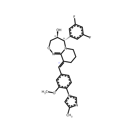 COc1cc(/C=C2\CCCN3C2=NOC[C@@H](O)[C@@H]3c2cc(F)cc(F)c2)ccc1-n1cnc(C)c1